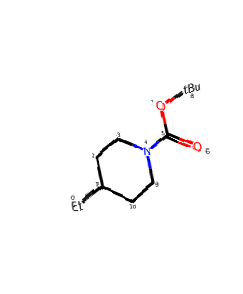 CCC1CCN(C(=O)OC(C)(C)C)CC1